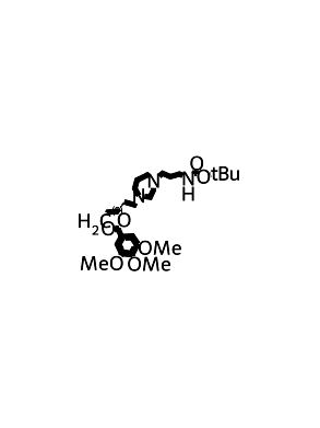 C=C[C@H](CCN1CCCN(CCCNC(=O)OC(C)(C)C)CC1)OC(=O)c1cc(OC)c(OC)c(OC)c1